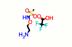 CS(=O)(=O)NOCCN.O=C(O)C(F)(F)F